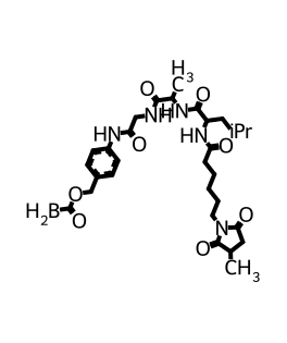 BC(=O)OCc1ccc(NC(=O)CNC(=O)C(C)NC(=O)C(CC(C)C)NC(=O)CCCCCN2C(=O)CC(C)C2=O)cc1